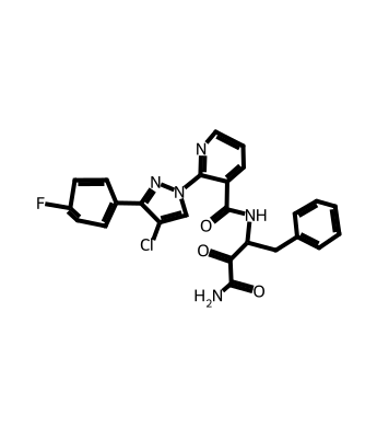 NC(=O)C(=O)C(Cc1ccccc1)NC(=O)c1cccnc1-n1cc(Cl)c(-c2ccc(F)cc2)n1